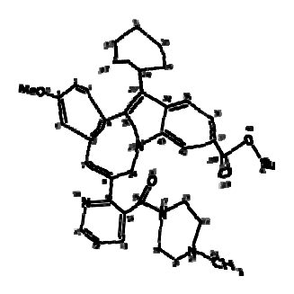 COc1ccc2c(c1)C=C(c1ncccc1C(=O)N1CCN(C)CC1)Cn1c-2c(C2CCCCC2)c2ccc(C(=O)OC(C)(C)C)cc21